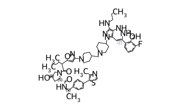 CCCNc1nn(C2CCN(CC3CCN(c4cc(C(C(=O)N5C[C@H](O)C[C@H]5C(=O)N[C@@H](C)c5ccc(-c6scnc6C)cc5)C(C)C)on4)CC3)CC2)c(/C=C(\N)c2cccc(F)c2O)c1N